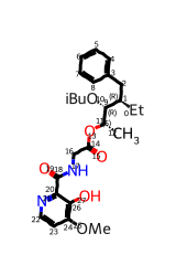 CC[C@H](Cc1ccccc1)[C@@H](OCC(C)C)[C@H](C)OC(=O)CNC(=O)c1nccc(OC)c1O